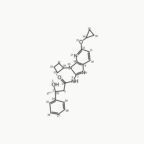 C[C@](O)(CC(=O)Nc1nc2ccc(OC3CC3)nc2n1C1CCC1)c1ccccc1